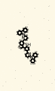 Sc1ccc(-c2cccc(-n3c4ccccc4c4ccccc43)n2)cc1-c1csc2ccc(-c3cccc(-n4c5ccccc5c5ccccc54)n3)cc12